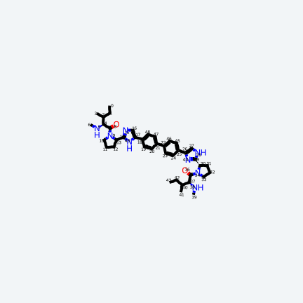 CCC(C)[C@H](NC)C(=O)N1CCCC1c1ncc(-c2ccc(-c3ccc(-c4c[nH]c([C@@H]5CCCN5C(=O)[C@@H](NC)C(C)CC)n4)cc3)cc2)[nH]1